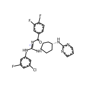 O=C(/N=C(/Nc1cc(F)cc(Cl)c1)N[C@H]1CC[C@@H](Nc2ncccn2)CC1)c1ccc(F)c(F)c1